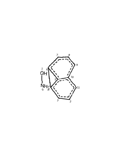 NO.c1cc2c3c-2cccc3c1